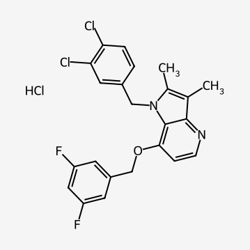 Cc1c(C)n(Cc2ccc(Cl)c(Cl)c2)c2c(OCc3cc(F)cc(F)c3)ccnc12.Cl